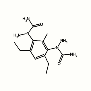 CCc1cc(CC)c(N(N)C(N)=O)c(C)c1N(N)C(N)=O